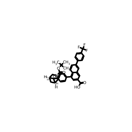 CC(C)(C)OC(=O)N1C[C@H]2C[C@@H](C1)C2(O)c1ccc(-c2cc(C(=O)O)cc3cc(-c4ccc(C(F)(F)F)cc4)ccc23)cc1